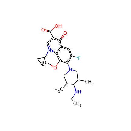 CCNC1C(C)CN(c2c(F)cc3c(=O)c(C(=O)O)cn(C4CC4)c3c2OC)CC1C